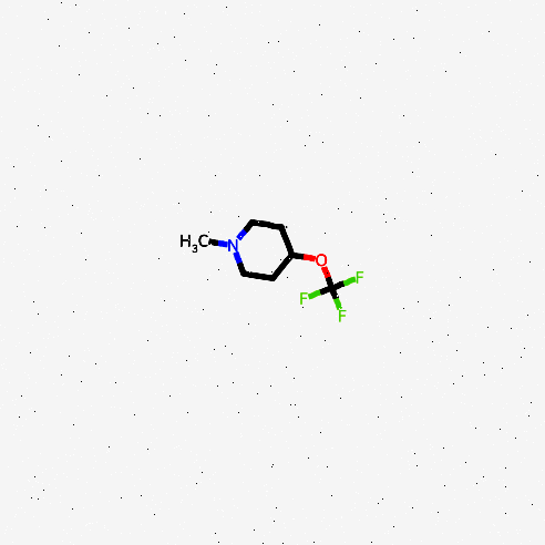 CN1C[CH]C(OC(F)(F)F)CC1